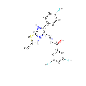 Cc1cn2c(/C=C/C(=O)c3cc(F)cc(F)c3)c(-c3ccc(F)cc3)nc2s1